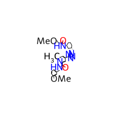 COCCC(=O)N[C@@H]1CCC[C@H](Cn2nnc(-c3cc(C)nc(C(=O)NCc4cccc(OC)c4)c3)n2)C1